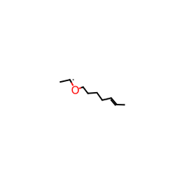 C[CH]OCCCC/C=C/C